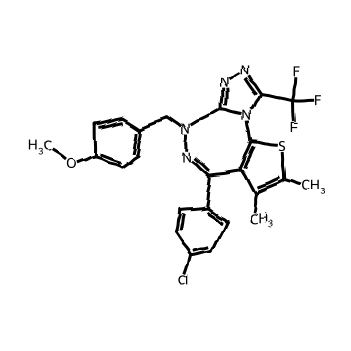 COc1ccc(CN2N=C(c3ccc(Cl)cc3)c3c(sc(C)c3C)-n3c2nnc3C(F)(F)F)cc1